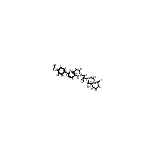 COc1ccc(-c2ccc3c(n2)CCN(CC(=O)N2CCN4C(C)CCC[C@H]4C2)C3)cc1